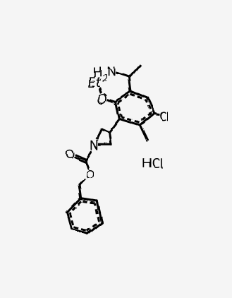 CCOc1c(C(C)N)cc(Cl)c(C)c1C1CN(C(=O)OCc2ccccc2)C1.Cl